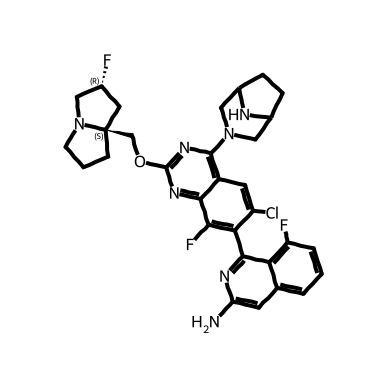 Nc1cc2cccc(F)c2c(-c2c(Cl)cc3c(N4CC5CCC(C4)N5)nc(OC[C@@]45CCCN4C[C@H](F)C5)nc3c2F)n1